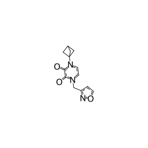 O=c1c(=O)n(C23CC(C2)C3)ccn1Cc1ccon1